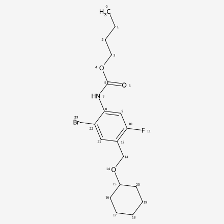 CCCCOC(=O)Nc1cc(F)c(COC2CCCCC2)cc1Br